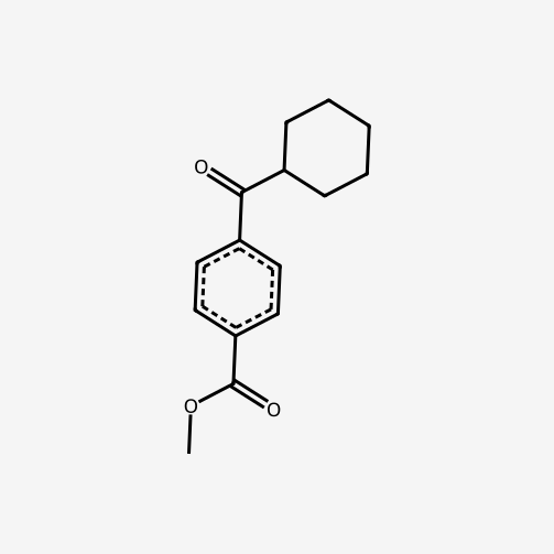 COC(=O)c1ccc(C(=O)C2CCCCC2)cc1